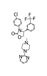 O=C1O[C@@H](CN2CCN(c3ncccn3)CC2)[C@H](c2cccc(C(F)(F)F)c2)N1c1ccc(Cl)cc1